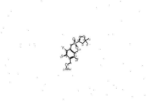 CCCCOCc1c(F)c(F)c(CS(=O)(=O)C2=NOC(C)(C)C2)c(F)c1F